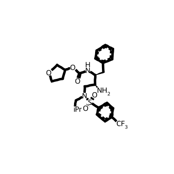 CC(C)CN(C[C@@H](N)[C@H](Cc1ccccc1)NC(=O)OC1CCOC1)S(=O)(=O)c1ccc(C(F)(F)F)cc1